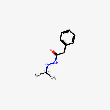 C[C@H](NNC(=O)Cc1ccccc1)C(F)(F)F